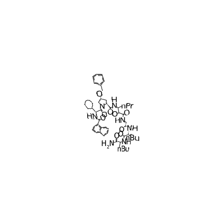 CCCCC(NC(=O)C(CCCC)NC(=O)CNC(=O)C(=O)C(CCC)NC(=O)[C@@H]1C[C@@H](OCc2ccccc2)CN1C(=O)C(NC(=O)c1cccc2ccccc12)C1CCCCC1)C(N)=O